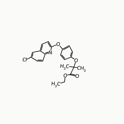 CCOC(=O)C(C)(C)Oc1ccc(Oc2ccc3cc(Cl)ccc3n2)cc1